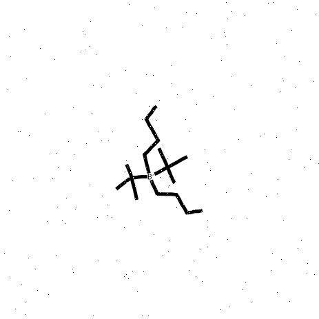 CCCC[B-](CCCC)(C(C)(C)C)C(C)(C)C